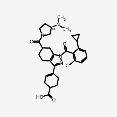 CN(C)[C@@H]1CCN(C(=O)C2CCc3c(C4=CCC(C(=O)O)CC4)nn(C(=O)c4c(Cl)cccc4C4CC4)c3C2)C1